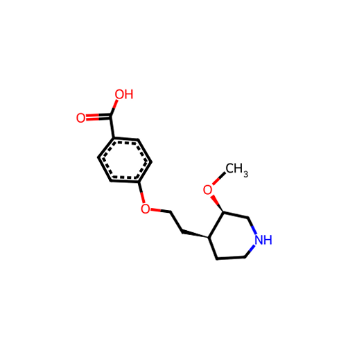 CO[C@H]1CNCC[C@H]1CCOc1ccc(C(=O)O)cc1